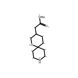 COC(=O)CC1CCC2(CCNCC2)OC1